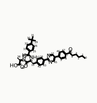 CCCCCC(=O)c1ccc(-c2cnc(-c3ccc(C[C@H](NC(=O)c4ccc(C(C)(C)C)cc4)C(=O)N[C@H](C)C(=O)O)cc3)nc2)cc1